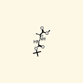 COC(=O)[C@H](C)NNC(=O)OC(C)(C)C